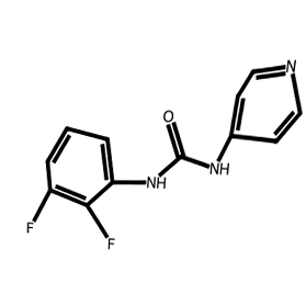 O=C(Nc1ccncc1)Nc1cccc(F)c1F